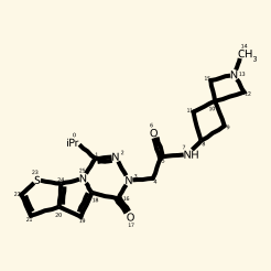 CC(C)c1nn(CC(=O)NC2CC3(C2)CN(C)C3)c(=O)c2cc3ccsc3n12